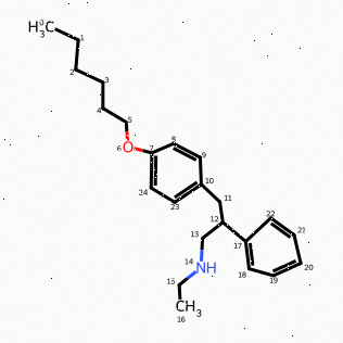 CCCCCCOc1ccc(CC(CNCC)c2ccccc2)cc1